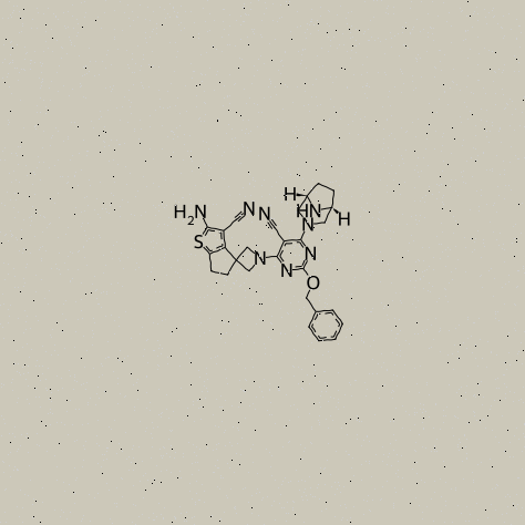 N#Cc1c(N2C[C@H]3CC[C@@H](C2)N3)nc(OCc2ccccc2)nc1N1CC2(CCc3sc(N)c(C#N)c32)C1